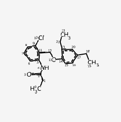 CCC(=O)Nc1cccc(Cl)c1COc1ccc(CC)cc1CC